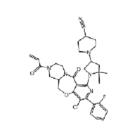 C=CC(=O)N1CCN2C(=O)c3c(N4CC(N5CCC(C#N)CC5)CC4(C)C)nc(-c4ccccc4F)c(Cl)c3OCC2C1